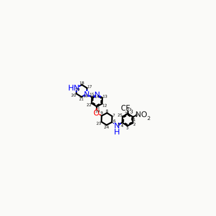 O=[N+]([O-])c1ccc(N[C@H]2CC[C@H](Oc3ccnc(N4CCNCC4)c3)CC2)cc1C(F)(F)F